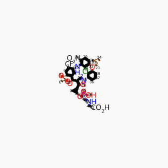 CS(=O)(=O)c1cc(C(F)(F)F)ccc1C(=O)c1cnoc1C1CC1.C[S+](C)C.Nc1c([N+](=O)[O-])ccc(Oc2ccccc2)c1Cl.O=C(O)CNCP(=O)([O-])O